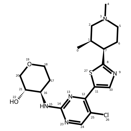 C[C@H]1CN(C)CC[C@H]1c1ncc(-c2nc(N[C@@H]3CCOC[C@H]3O)ncc2Cl)s1